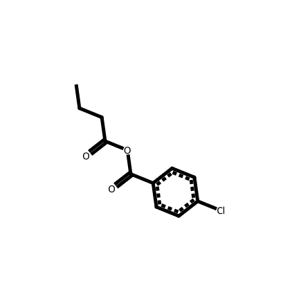 CCCC(=O)OC(=O)c1ccc(Cl)cc1